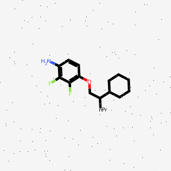 CCCC(COc1ccc(N)c(F)c1F)C1CCCCC1